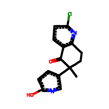 CC1(c2ccc(O)nc2)CCc2nc(Cl)ccc2C1=O